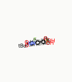 CC(C)(C)OC(=O)N1CCN(c2ccc(-c3ccc4c(c3)OCS4(O)O)cc2F)CC1